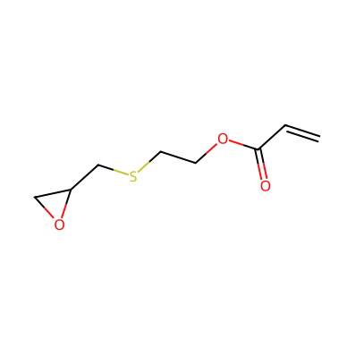 C=CC(=O)OCCSCC1CO1